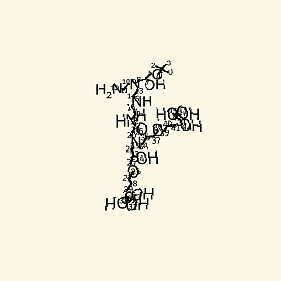 CC(C)(C)OCC(O)CN(CCN)CCNCCNCCN(CC(O)COCCC[Si](O)(O)O)CC(O)COCCC[Si](O)(O)O